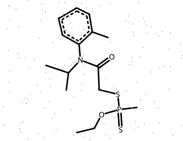 CCOP(C)(=S)SCC(=O)N(c1ccccc1C)C(C)C